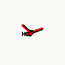 CCCCCCCCCCCCCCCCCCOc1ccc(Sc2ccc(O)cc2)cc1OCCCCCCCCCCCCCCCCCC